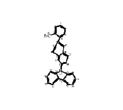 N#Cc1ccccc1-c1ccc2cc(-n3c4ccccc4c4ccccc43)ccc2c1